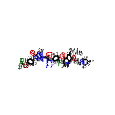 COc1cc2c(Oc3ccc(NC(=O)c4nn(-c5ccc(OC(F)F)cc5)c(=O)n4C)cc3F)ccnc2cc1OCCCN1CCC(C)CC1